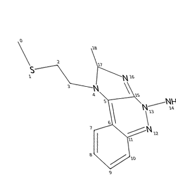 CSCCN1C2=c3ccccc3=NN(N)C2=NC1C